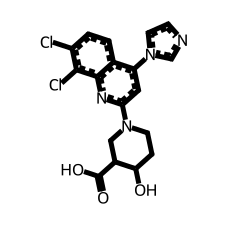 O=C(O)C1CN(c2cc(-n3ccnc3)c3ccc(Cl)c(Cl)c3n2)CCC1O